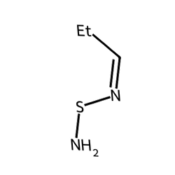 CC/C=N\SN